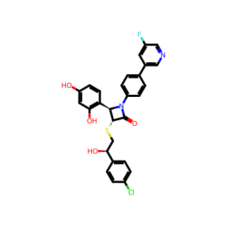 O=C1[C@H](SC[C@H](O)c2ccc(Cl)cc2)[C@@H](c2ccc(O)cc2O)N1c1ccc(-c2cncc(F)c2)cc1